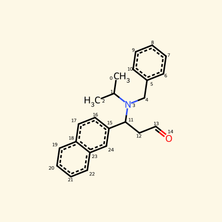 CC(C)N(Cc1ccccc1)C(CC=O)c1ccc2ccccc2c1